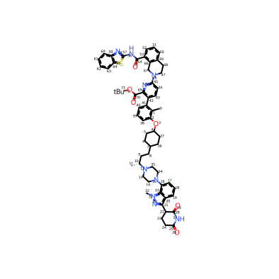 Cc1c(OC2CCC(CC[C@@H](C)N3CCN(c4cccc5c(C6CCC(=O)NC6=O)nn(C)c45)CC3)CC2)cccc1-c1ccc(N2CCc3cccc(C(=O)Nc4nc5ccccc5s4)c3C2)nc1C(=O)OC(C)(C)C